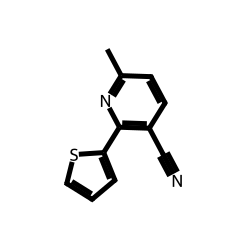 Cc1ccc(C#N)c(-c2cccs2)n1